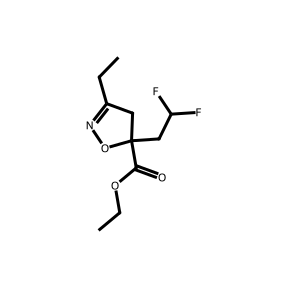 CCOC(=O)C1(CC(F)F)CC(CC)=NO1